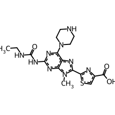 CCNC(=O)Nc1nc(N2CCNCC2)c2nc(-c3nc(C(=O)O)cs3)n(C)c2n1